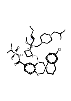 CC/C=C/[C@@](CN1CCN(CC(F)F)CC1)(OC)[C@@H]1CC[C@H]1CN1C[C@@]2(CCCc3cc(Cl)ccc32)COc2ccc(C(=O)NS(=O)(=O)C(C)C)cc21